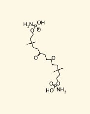 CC(C)(CCOP(N)(=O)O)CCC(=O)CCC(=O)CCC(C)(C)CCOP(N)(=O)O